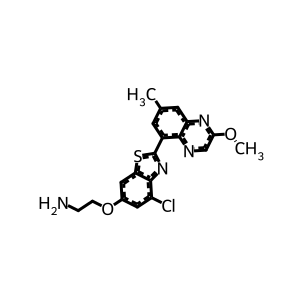 COc1cnc2c(-c3nc4c(Cl)cc(OCCN)cc4s3)cc(C)cc2n1